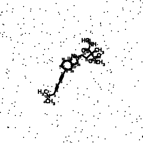 CN(C)CC#CC#Cc1ccc2nn(CCC(C)(C(=O)NO)S(C)(=O)=O)cc2c1